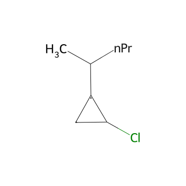 CCCC(C)[C]1CC1Cl